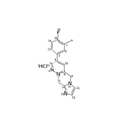 Cc1cc(-c2cnnc(Cn3ccnc3C)c2)ccc1F.Cl